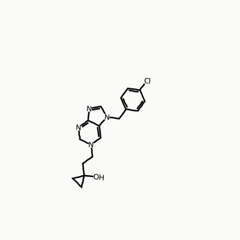 OC1(CCN2C=c3c(ncn3Cc3ccc(Cl)cc3)=NC2)CC1